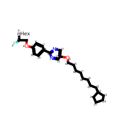 CCCCCCC(F)COc1ccc(-c2ncc(OCCCCCCCCC3CCCC3)cn2)cc1